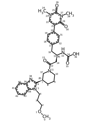 COCCCn1c([C@@H]2CCCN(C(=O)C[C@@H](Cc3ccc(-c4cn(C)c(=O)n(C)c4=O)cc3)NC(=O)O)C2)nc2ccccc21